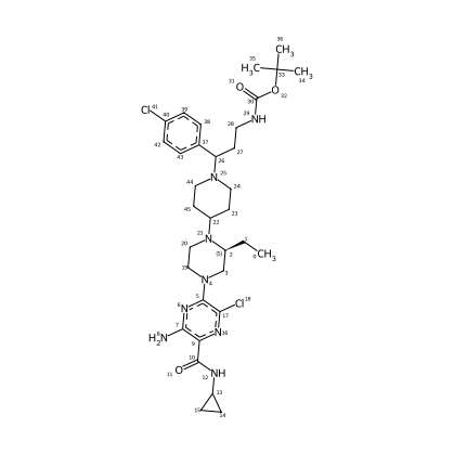 CC[C@H]1CN(c2nc(N)c(C(=O)NC3CC3)nc2Cl)CCN1C1CCN(C(CCNC(=O)OC(C)(C)C)c2ccc(Cl)cc2)CC1